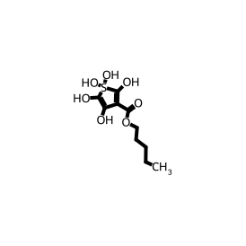 CCCCCOC(=O)C1=C(O)S(O)(O)C(O)=C1O